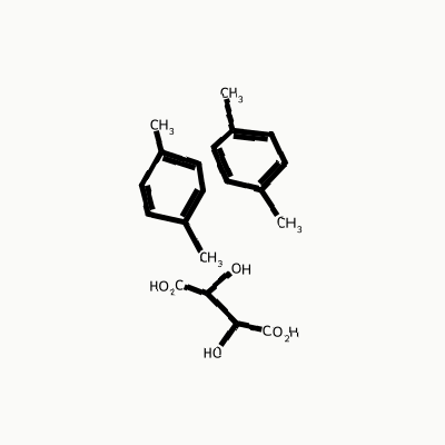 Cc1ccc(C)cc1.Cc1ccc(C)cc1.O=C(O)C(O)C(O)C(=O)O